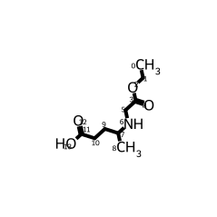 CCOC(=O)CNC(C)CCC(=O)O